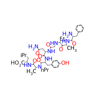 CCCN(C(=O)C(Cc1ccc(O)cc1)NC(=O)C(CC(N)=O)NC(=O)CNC(CC)C(=O)C(C)NC(=O)C(N)Cc1ccccc1)C(C)C(=O)NC(CC(C)C)C(=O)O